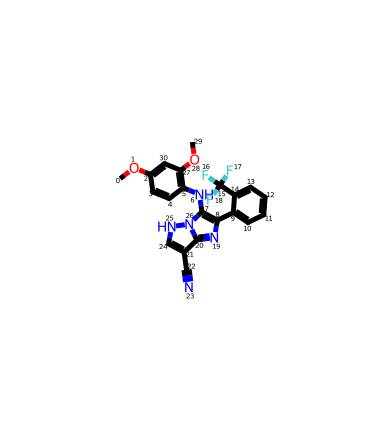 COc1ccc(Nc2c(-c3ccccc3C(F)(F)F)nc3c(C#N)c[nH]n23)c(OC)c1